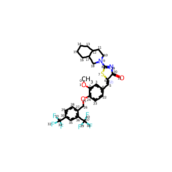 COc1cc(/C=C2\SC(N3CCC4CCCCC4C3)=NC2=O)ccc1OCc1ccc(C(F)(F)F)cc1C(F)(F)F